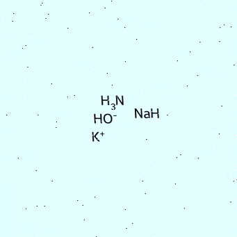 N.[K+].[NaH].[OH-]